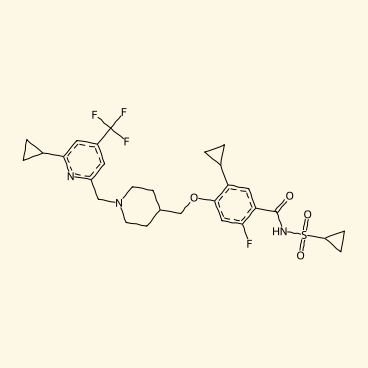 O=C(NS(=O)(=O)C1CC1)c1cc(C2CC2)c(OCC2CCN(Cc3cc(C(F)(F)F)cc(C4CC4)n3)CC2)cc1F